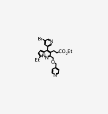 CCOC(=O)CCc1c(COCc2ccncc2)nn2c(CC)ccc2c1-c1cncc(Br)c1